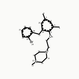 Cc1cc(C)c(OCCN2CCN(C)CC2)c(Cc2ccccc2Br)c1